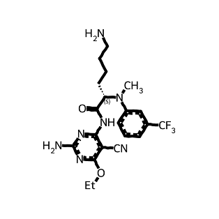 CCOc1nc(N)nc(NC(=O)[C@H](CCCCN)N(C)c2cccc(C(F)(F)F)c2)c1C#N